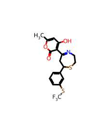 Cc1cc(O)c(C2=NCCSC(c3cccc(SC(F)(F)F)c3)C2)c(=O)o1